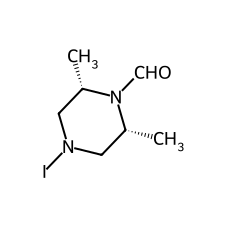 C[C@@H]1CN(I)C[C@H](C)N1C=O